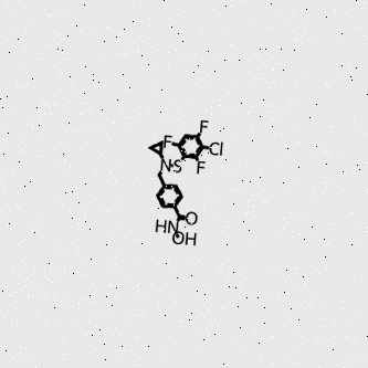 O=C(NO)c1ccc(CN(Sc2c(F)cc(F)c(Cl)c2F)C2CC2)cc1